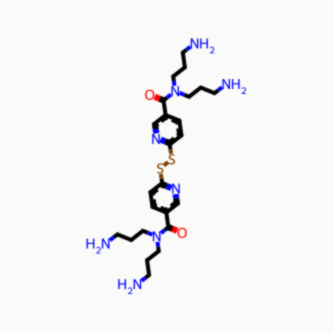 NCCCN(CCCN)C(=O)c1ccc(SSc2ccc(C(=O)N(CCCN)CCCN)cn2)nc1